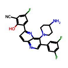 N#Cc1cc(F)cc(-c2ccc3ncc(-c4cc(F)cc(F)c4)c(N4CCC(N)CC4)c3n2)c1O